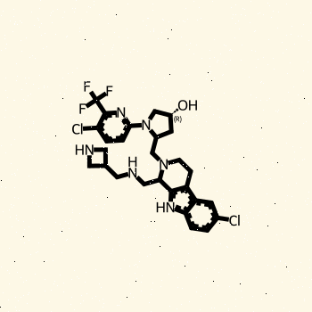 O[C@@H]1CC(CN2CCc3c([nH]c4ccc(Cl)cc34)C2CNCC2CNC2)N(c2ccc(Cl)c(C(F)(F)F)n2)C1